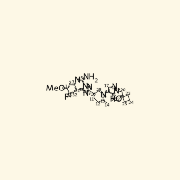 COc1cc2nc(N)n3nc(C4CCC(C)N(c5cnn(CC6(O)CCC6)c5C)C4)nc3c2cc1F